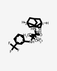 CC(=O)N[C@@]12CC3C[C@H](C1)[C@H](NC(=O)C(C)(C)Nc1cccc(C(F)(F)F)c1)[C@@H](C3)C2